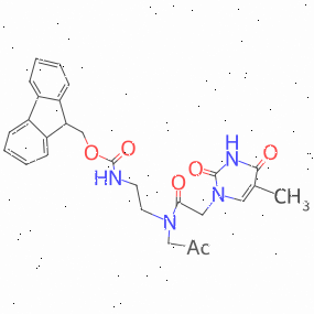 CC(=O)CN(CCNC(=O)OCC1c2ccccc2-c2ccccc21)C(=O)Cn1cc(C)c(=O)[nH]c1=O